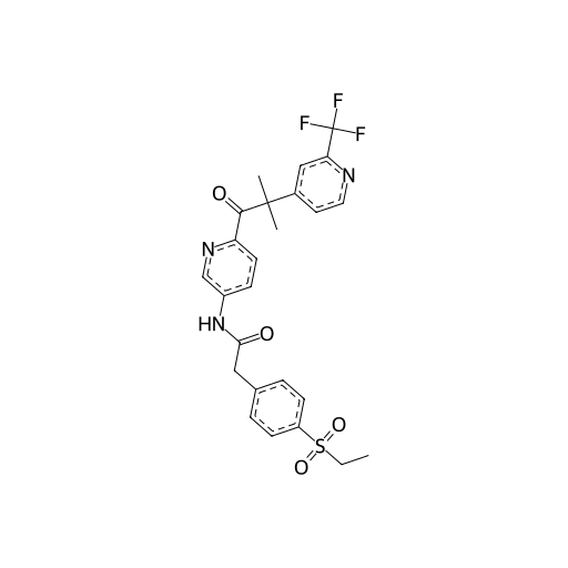 CCS(=O)(=O)c1ccc(CC(=O)Nc2ccc(C(=O)C(C)(C)c3ccnc(C(F)(F)F)c3)nc2)cc1